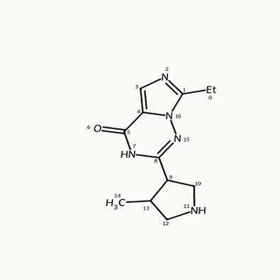 CCc1ncc2c(=O)[nH]c(C3CNCC3C)nn12